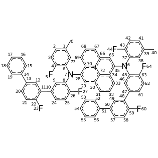 Cc1ccc(F)c(N(c2cc(-c3cc(-c4ccccc4)ccc3F)ccc2F)c2cc3cccc4c(N(c5cc(C)ccc5F)c5cc(-c6cc(-c7ccccc7)ccc6F)ccc5F)cc5cccc2c5c34)c1